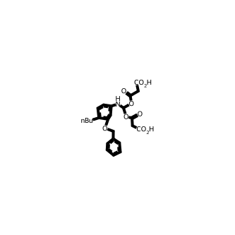 CCCCc1ccc(NC(OC(=O)CC(=O)O)OC(=O)CC(=O)O)cc1OCc1ccccc1